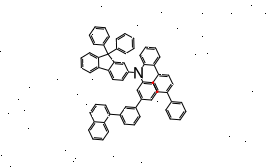 c1ccc(-c2ccc(-c3ccccc3N(c3cccc(-c4cccc(-c5cccc6ccccc56)c4)c3)c3ccc4c(c3)C(c3ccccc3)(c3ccccc3)c3ccccc3-4)cc2)cc1